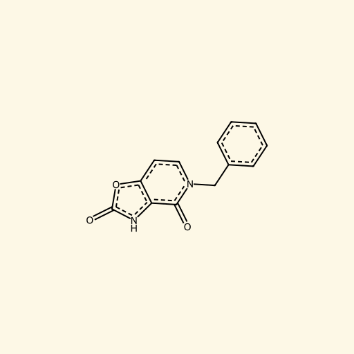 O=c1[nH]c2c(=O)n(Cc3ccccc3)ccc2o1